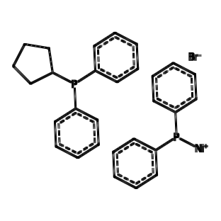 [Br-].[Ni+][P](c1ccccc1)c1ccccc1.c1ccc(P(c2ccccc2)C2CCCC2)cc1